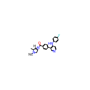 CC1[C@H]2C(CN1C#N)N2C(=O)c1ccc(-c2cnccc2Nc2ccc(F)cc2)cc1